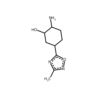 Cc1noc(C2CCC(N)C(O)C2)n1